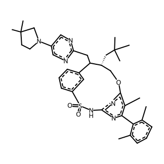 Cc1cccc(C)c1-c1nc2nc(c1C)OC[C@@H](CC(C)(C)C)C(Cc1ncc(N3CCC(C)(C)C3)cn1)c1cccc(c1)S(=O)(=O)N2